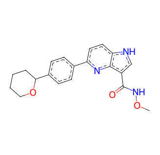 CONC(=O)c1c[nH]c2ccc(-c3ccc(C4CCCCO4)cc3)nc12